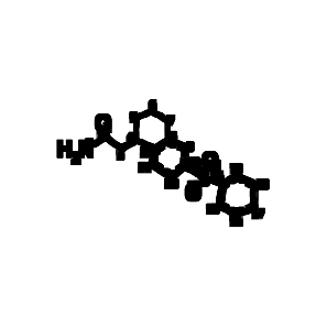 NC(=O)C[C@H]1CCCc2cc(S(=O)(=O)c3ccccc3)ccc21